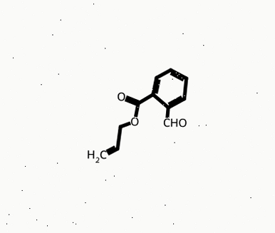 C=CCOC(=O)c1ccccc1C=O